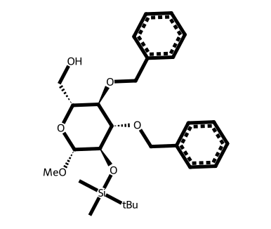 CO[C@@H]1O[C@H](CO)[C@@H](OCc2ccccc2)[C@H](OCc2ccccc2)[C@H]1O[Si](C)(C)C(C)(C)C